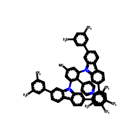 N#Cc1cc(-n2c3cc(-c4cc(C(F)(F)F)cc(C(F)(F)F)c4)ccc3c3ccc(-c4cc(C(F)(F)F)cc(C(F)(F)F)c4)cc32)c(-c2ccncc2)c(-n2c3cc(-c4cc(C(F)(F)F)cc(C(F)(F)F)c4)ccc3c3ccc(-c4cc(C(F)(F)F)cc(C(F)(F)F)c4)cc32)c1